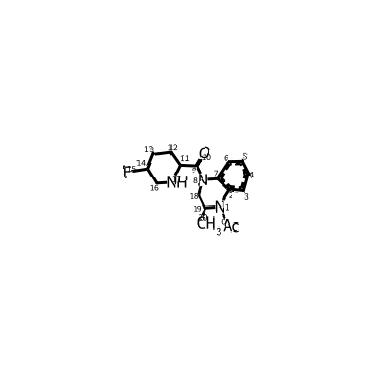 CC(=O)N1c2ccccc2N(C(=O)C2CCC(F)CN2)C[C@@H]1C